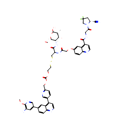 COc1ncc(-c2ccc3nccc(-c4ccc(COC(=O)OCCSSCC(NC(=O)COc5ccc6nccc(C(=O)NCC(=O)N7CC(F)(F)C[C@H]7C#N)c6c5)C(=O)N[C@@H]5[C@@H](O)[C@H](C)C(O)O[C@H]5CO)nc4)c3c2)cc1N